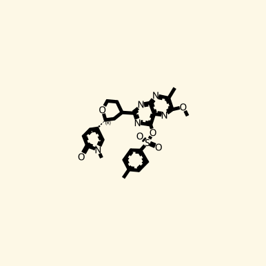 COc1nc2c(OS(=O)(=O)c3ccc(C)cc3)nc(C3CCO[C@@H](c4ccc(=O)n(C)c4)C3)nc2nc1C